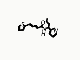 CCCC(NC(=O)C=CC=Cc1cccs1)c1cccnc1